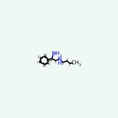 CCCCNCC(N)c1ccccc1